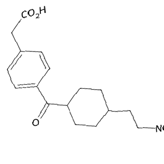 O=NCCC1CCC(C(=O)c2ccc(CC(=O)O)cc2)CC1